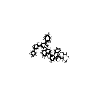 CC1(C)c2ccccc2-c2c(-c3ccc(-c4nc(-c5ccccc5)cc(-c5cccc(-c6ccccc6)c5)n4)c4ccccc34)cccc21